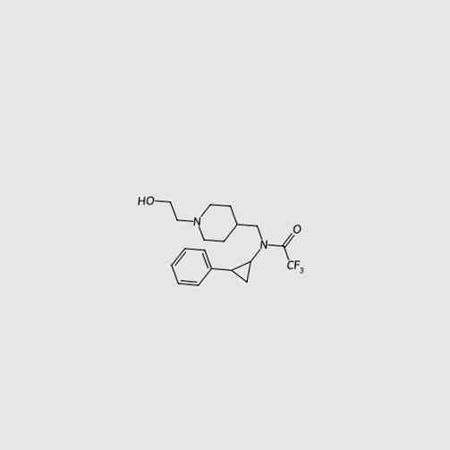 O=C(N(CC1CCN(CCO)CC1)C1CC1c1ccccc1)C(F)(F)F